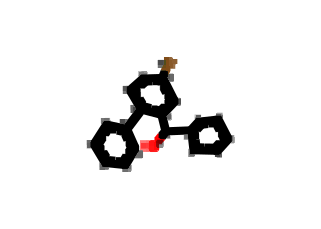 OC(c1ccccc1)c1cc(Br)ccc1-c1ccccc1